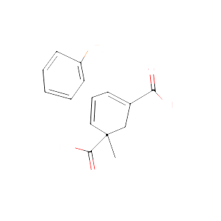 CC1(C(=O)O)C=CC=C(C(=O)O)C1.Pc1ccccc1